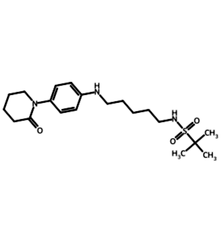 CC(C)(C)S(=O)(=O)NCCCCCNc1ccc(N2CCCCC2=O)cc1